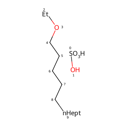 O=S(=O)(O)O.[CH2]COCCCCCCCCCCCC